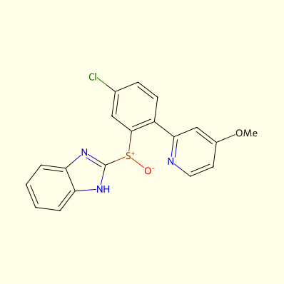 COc1ccnc(-c2ccc(Cl)cc2[S+]([O-])c2nc3ccccc3[nH]2)c1